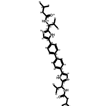 CC(C)CC(=O)NC(c1ncc(-c2ccc(-c3ccc(-c4cnc([C@@H](NC(=O)CC(C)C)C(C)C)[nH]4)cc3)cc2)[nH]1)C(C)C